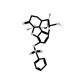 CN1CC[C@]23c4c5ccc(OS(=O)(=O)c6ccccc6)c4O[C@H]2C(=O)CCC3[C@H]1C5